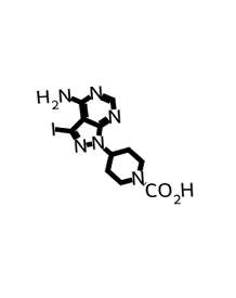 Nc1ncnc2c1c(I)nn2C1CCN(C(=O)O)CC1